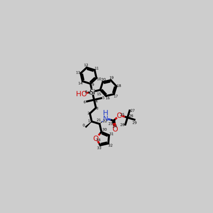 C[C@@H](CCC(C)(C)[Si](O)(c1ccccc1)c1ccccc1)[C@H](NC(=O)OC(C)(C)C)c1ccco1